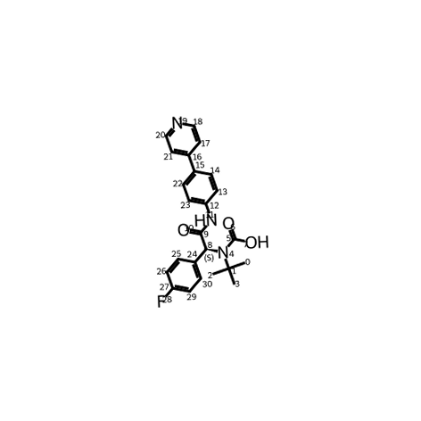 CC(C)(C)N(C(=O)O)[C@H](C(=O)Nc1ccc(-c2ccncc2)cc1)c1ccc(F)cc1